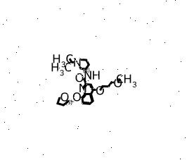 COCCCOc1cc(C(=O)N[C@@H]2CCCN(C(C)C)C2)nc2c(OC[C@@H]3CCCO3)cccc12